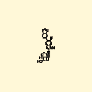 O[C@@H]1CO[C@H]2[C@@H]1OC[C@H]2Oc1cc2nc(-c3ccc4scnc4c3)c(F)cc2[nH]1